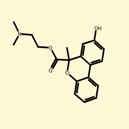 CN(C)CCOC(=O)C1(C)Oc2ccccc2-c2ccc(O)cc21